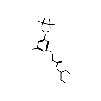 CCC(CC)NC(=O)COc1cc(F)cc(B2OC(C)(C)C(C)(C)O2)c1